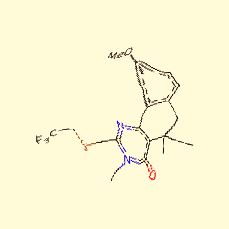 COc1ccc2c(c1)-c1nc(SCC(F)(F)F)n(C)c(=O)c1C(C)(C)C2